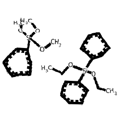 CCO[Si](OCC)(c1ccccc1)c1ccccc1.CO[Si](OC)(OC)c1ccccc1